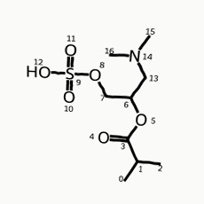 CC(C)C(=O)OC(COS(=O)(=O)O)CN(C)C